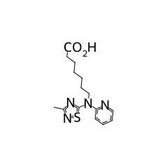 Cc1nsc(N(CCCCCCC(=O)O)c2ccccn2)n1